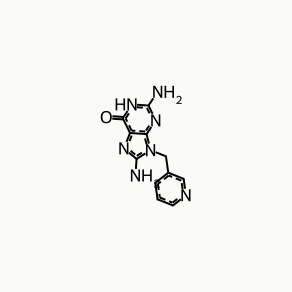 Nc1nc2c(nc(N)n2Cc2cccnc2)c(=O)[nH]1